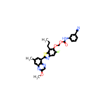 CCCc1c(OCOC(=O)Nc2cccc(C#N)c2)c(F)cc2nc(-c3cc(C)cc4nc(OC)cnc34)sc12